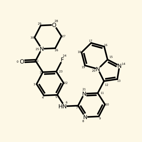 O=C(c1ccc(Nc2nccc(-c3cnc4ccccn34)n2)cc1F)N1CCOCC1